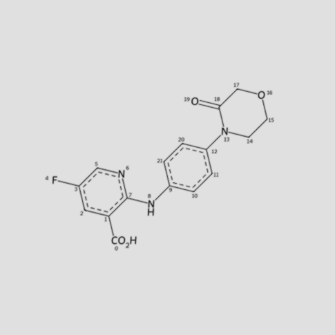 O=C(O)c1cc(F)cnc1Nc1ccc(N2CCOCC2=O)cc1